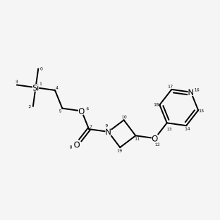 C[Si](C)(C)CCOC(=O)N1CC(Oc2ccncc2)C1